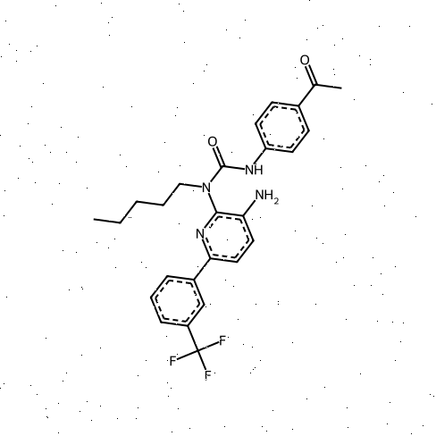 CCCCCN(C(=O)Nc1ccc(C(C)=O)cc1)c1nc(-c2cccc(C(F)(F)F)c2)ccc1N